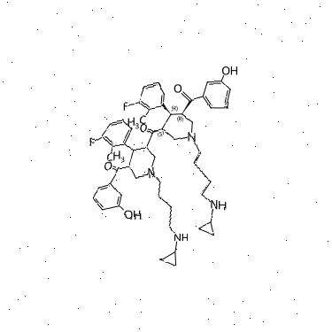 Cc1c(F)cccc1C1C(C(=O)c2cccc(O)c2)CN(CCCCNC2CC2)CC1C(=O)[C@@H]1CN(CCCCNC2CC2)C[C@H](C(=O)c2cccc(O)c2)[C@@H]1c1cccc(F)c1C